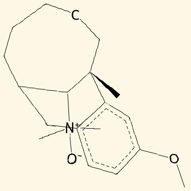 COc1ccc2c(c1)[C@@]1(C)CCCCCC(C2)C1[N+](C)(C)[O-]